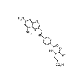 CC(C)C(=O)C(CCC(=O)O)NC(=O)c1ccc(NCc2cnc3nc(N)nc(N)c3n2)cc1